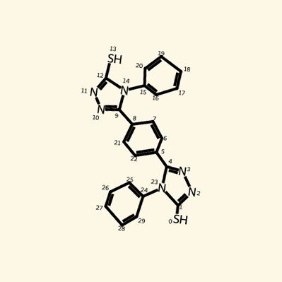 Sc1nnc(-c2ccc(-c3nnc(S)n3-c3ccccc3)cc2)n1-c1ccccc1